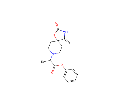 C=C1NC(=O)OC12CCN(C(CC)C(=O)Oc1ccccc1)CC2